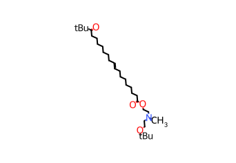 CN(CCOC(=O)CCCCCCC/C=C/CCCCCCCC(=O)C(C)(C)C)CCOC(C)(C)C